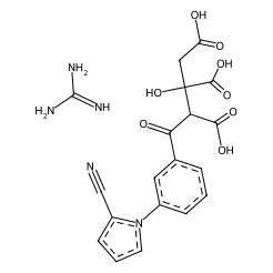 N#Cc1cccn1-c1cccc(C(=O)C(C(=O)O)C(O)(CC(=O)O)C(=O)O)c1.N=C(N)N